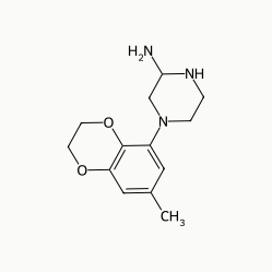 Cc1cc2c(c(N3CCNC(N)C3)c1)OCCO2